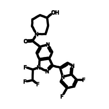 O=C(c1cc2c(cn1)c(-c1cnc3c(F)cc(F)cn13)nn2C(F)C(F)F)N1CCCC(O)CC1